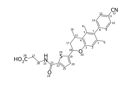 Cc1cc2c(c(C)c1-c1ccc(C#N)cc1)C(C)CC(c1ccc(C(=O)NCCC(=O)O)s1)O2